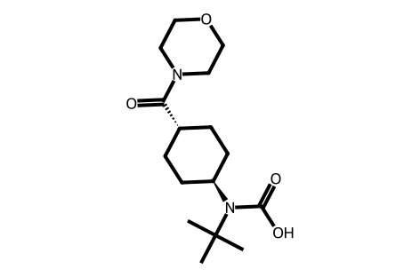 CC(C)(C)N(C(=O)O)[C@H]1CC[C@H](C(=O)N2CCOCC2)CC1